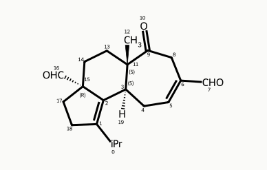 CC(C)C1=C2[C@@H]3CC=C(C=O)CC(=O)[C@@]3(C)CC[C@]2(C=O)CC1